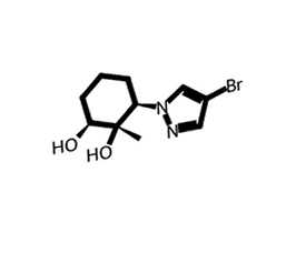 C[C@@]1(O)[C@@H](O)CCC[C@H]1n1cc(Br)cn1